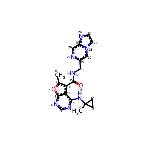 Cc1oc2ncnc(NC3(C)CC3)c2c1C(=O)NCc1cn2ccnc2cn1